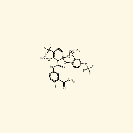 COC1=C(C(F)(F)F)C=CC(OC)(Oc2ccc(OC(F)(F)F)cc2OC)C1C(=O)Nc1ccc(F)c(C(N)=O)c1